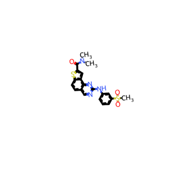 CN(C)C(=O)c1cc2c(ccc3cnc(Nc4cccc(S(C)(=O)=O)c4)nc32)s1